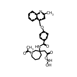 CC(=O)N1CCCCC(CC(=O)ONO)(NC(=O)c2ccc(OCc3cc(C)nc4ccccc34)cc2)C1